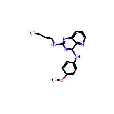 CCCCNc1nc(Nc2ccc(OC)cc2)c2ncccc2n1